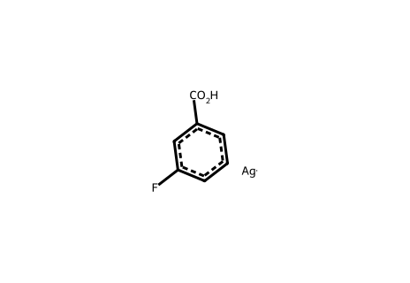 O=C(O)c1cccc(F)c1.[Ag]